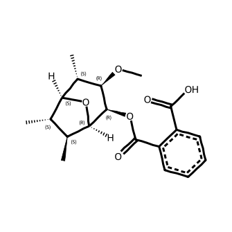 CO[C@@H]1[C@@H](C)[C@H]2O[C@H]([C@@H](C)[C@@H]2C)[C@@H]1OC(=O)c1ccccc1C(=O)O